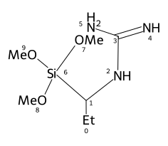 CCC(NC(=N)N)[Si](OC)(OC)OC